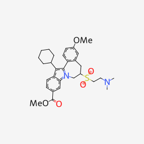 COC(=O)c1ccc2c(C3CCCCC3)c3n(c2c1)CC(S(=O)(=O)CCN(C)C)Cc1cc(OC)ccc1-3